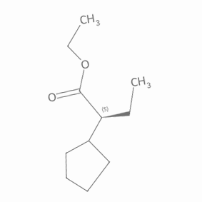 CCOC(=O)[C@@H](CC)C1CCCC1